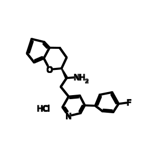 Cl.NC(Cc1cncc(-c2ccc(F)cc2)c1)[C@@H]1CCc2ccccc2O1